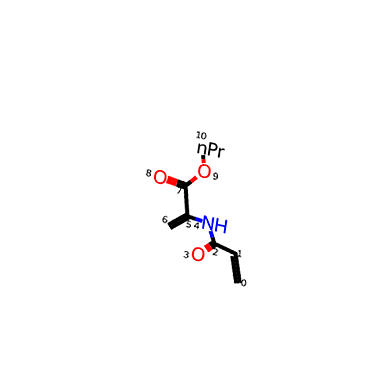 C=CC(=O)NC(=C)C(=O)OCCC